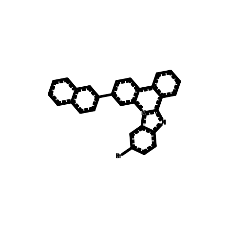 Brc1ccc2nc3c4ccccc4c4ccc(-c5ccc6ccccc6c5)cc4n3c2c1